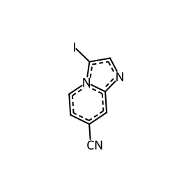 N#Cc1ccn2c(I)cnc2c1